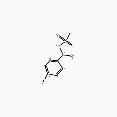 CS(=O)(=O)OB(O)c1ccc(F)cc1